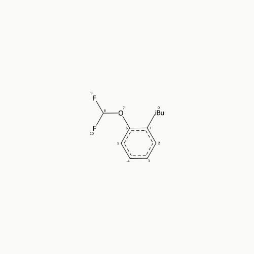 CCC(C)c1ccccc1OC(F)F